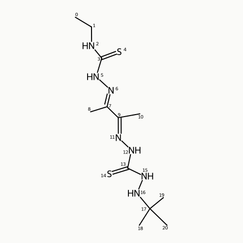 CCNC(=S)N/N=C(C)/C(C)=N/NC(=S)NNC(C)(C)C